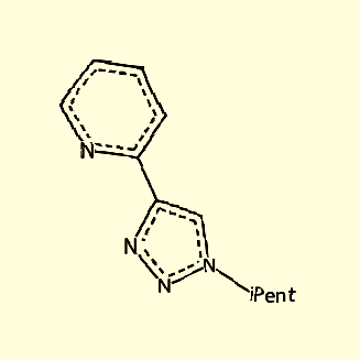 CCCC(C)n1cc(-c2ccccn2)nn1